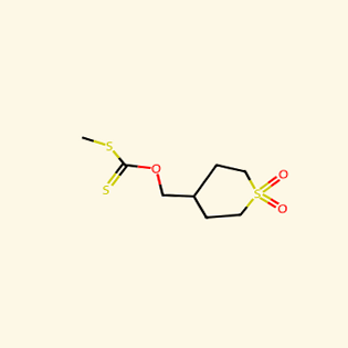 CSC(=S)OCC1CCS(=O)(=O)CC1